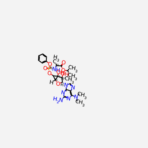 CC(C)OC(=O)[C@H](C)N[P@](=O)(Oc1ccccc1)OC1[C@H]2O[C@@H](n3cnc4c(N(C)C)nc(N)nc43)[C@](C)(O)[C@@]12O